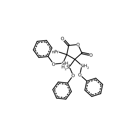 CCCC1([SiH2]Oc2ccccc2)C(=O)OC(=O)C1([SiH2]Oc1ccccc1)[SiH2]Oc1ccccc1